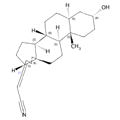 C[C@]12CC[C@@H](O)C[C@@H]1CC[C@@H]1[C@@H]2CC[C@]23CC/C(=C\C#N)[C@H]2CC[C@@H]13